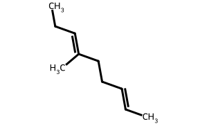 C/C=C/CC/C(C)=C/CC